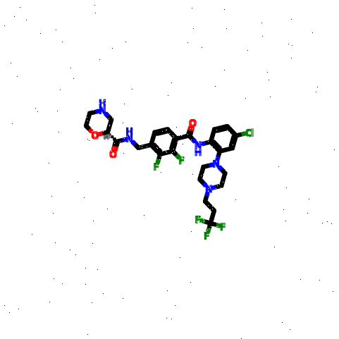 O=C(Nc1ccc(Cl)cc1N1CCN(CCC(F)(F)F)CC1)c1ccc(CNC(=O)[C@H]2CNCCO2)c(F)c1F